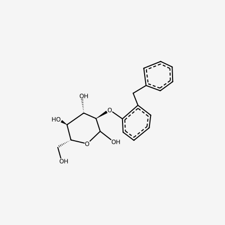 OC[C@H]1OC(O)[C@H](Oc2ccccc2Cc2ccccc2)[C@@H](O)[C@@H]1O